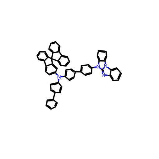 c1ccc(-c2ccc(N(c3ccc(-c4ccc(-n5c6ccccc6n6c7ccccc7nc56)cc4)cc3)c3ccc4c(c3)C3(c5ccccc5-c5ccccc53)c3ccccc3-4)cc2)cc1